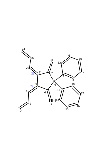 C=C/C=C1\C(=N)C(c2ccccc2)(c2ccccc2)C(=C)\C1=C/C=C